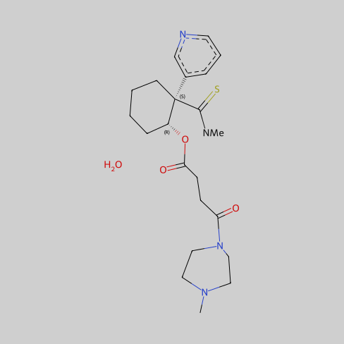 CNC(=S)[C@]1(c2cccnc2)CCCC[C@H]1OC(=O)CCC(=O)N1CCN(C)CC1.O